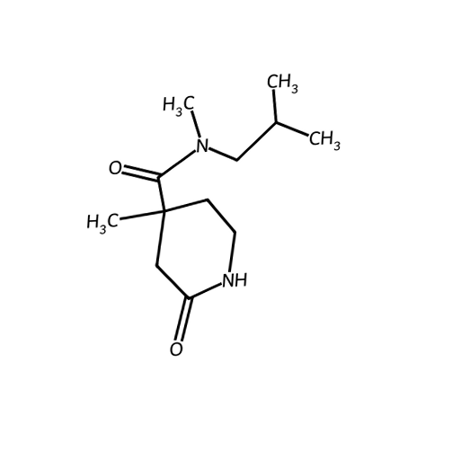 CC(C)CN(C)C(=O)C1(C)CCNC(=O)C1